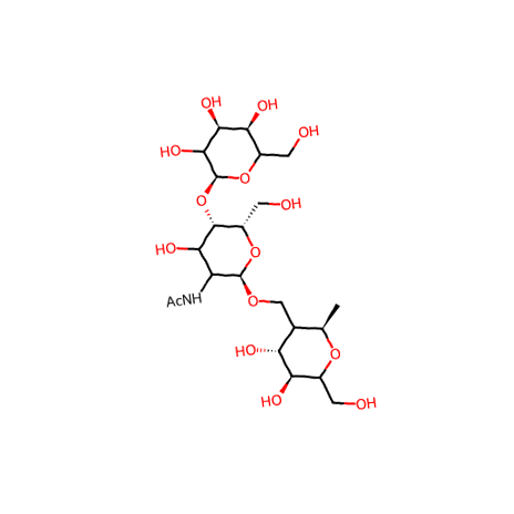 CC(=O)NC1C(O)[C@H](O[C@@H]2OC(CO)[C@H](O)[C@H](O)C2O)[C@H](CO)O[C@H]1OCC1[C@@H](O)[C@H](O)C(CO)O[C@@H]1C